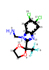 NCn1c(C2(C(F)(F)F)OCCO2)nc2cc(Cl)c(Cl)cc21